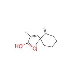 C=C1CCCCC1(C=C(C)C(=O)O)CC